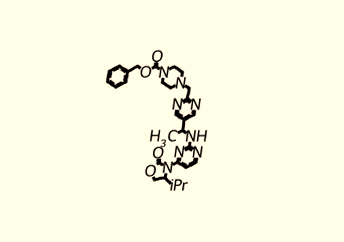 CC(Nc1nccc(N2C(=O)OCC2C(C)C)n1)c1cnc(CN2CCN(C(=O)OCc3ccccc3)CC2)nc1